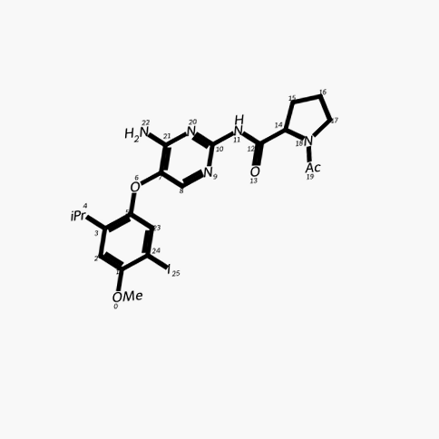 COc1cc(C(C)C)c(Oc2cnc(NC(=O)C3CCCN3C(C)=O)nc2N)cc1I